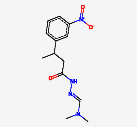 CC(CC(=O)N/N=C/N(C)C)c1cccc([N+](=O)[O-])c1